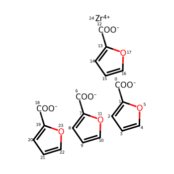 O=C([O-])c1ccco1.O=C([O-])c1ccco1.O=C([O-])c1ccco1.O=C([O-])c1ccco1.[Zr+4]